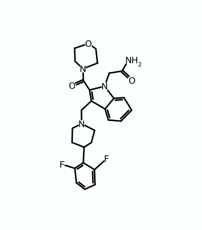 NC(=O)Cn1c(C(=O)N2CCOCC2)c(CN2CCC(c3c(F)cccc3F)CC2)c2ccccc21